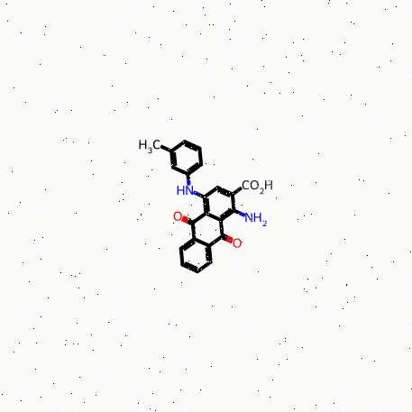 Cc1cccc(Nc2cc(C(=O)O)c(N)c3c2C(=O)c2ccccc2C3=O)c1